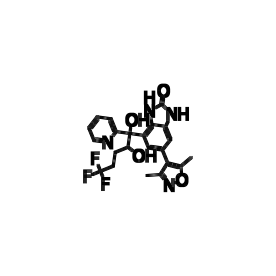 Cc1noc(C)c1-c1cc(C(O)(c2ccccn2)C(O)CCC(F)(F)F)c2[nH]c(=O)[nH]c2c1